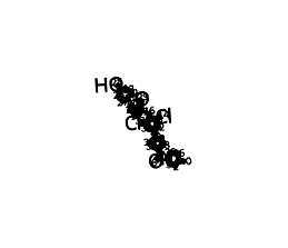 CC1CCN(C(=O)c2ccc(-c3cc(Cl)c(C[C@@H]4CCN(C5CCC(O)CC5)C4=O)c(Cl)c3)cc2)CC1